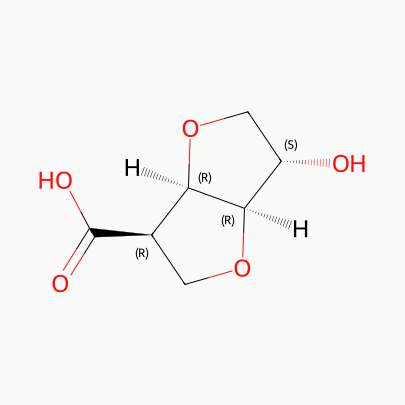 O=C(O)[C@@H]1CO[C@H]2[C@@H]1OC[C@@H]2O